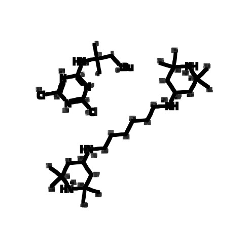 CC(C)(C)CC(C)(C)Nc1nc(Cl)nc(Cl)n1.CC1(C)CC(NCCCCCCNC2CC(C)(C)NC(C)(C)C2)CC(C)(C)N1